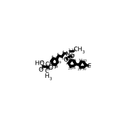 CCCN(CCCc1ccc(OC(C)(C)C(=O)O)cc1)S(=O)(=O)c1cccc(-c2ccc(F)cc2)c1